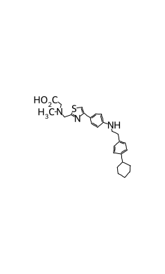 CN(CC(=O)O)Cc1nc(-c2ccc(NCCc3ccc(C4CCCCC4)cc3)cc2)cs1